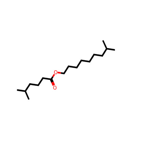 CC(C)CCCCCCCOC(=O)CCCC(C)C